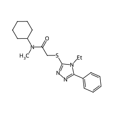 CCn1c(SCC(=O)N(C)C2CCCCC2)nnc1-c1ccccc1